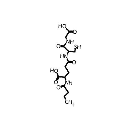 CCCC(=O)NC(CCC(=O)NC(CS)C(=O)NCC(=O)O)C(=O)O